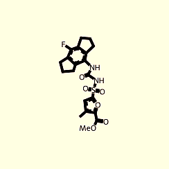 COC(=O)c1oc(S(=O)(=O)NC(=O)Nc2c3c(c(F)c4c2CCC4)CCC3)cc1C